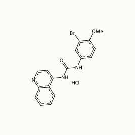 COc1ccc(NC(=O)Nc2ccnc3ccccc23)cc1Br.Cl